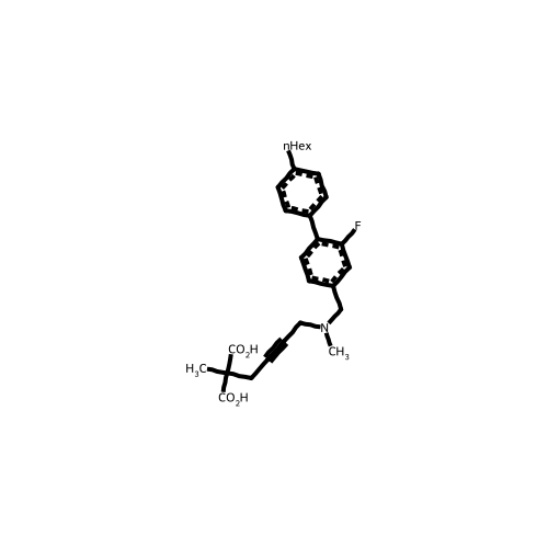 CCCCCCc1ccc(-c2ccc(CN(C)CC#CCC(C)(C(=O)O)C(=O)O)cc2F)cc1